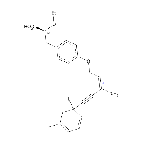 CCO[C@@H](Cc1ccc(OC/C=C(/C)C#CC2(I)C=CC=C(I)C2)cc1)C(=O)O